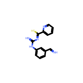 N=Cc1cccc(NC(=N)/N=C(\S)c2ccccn2)c1